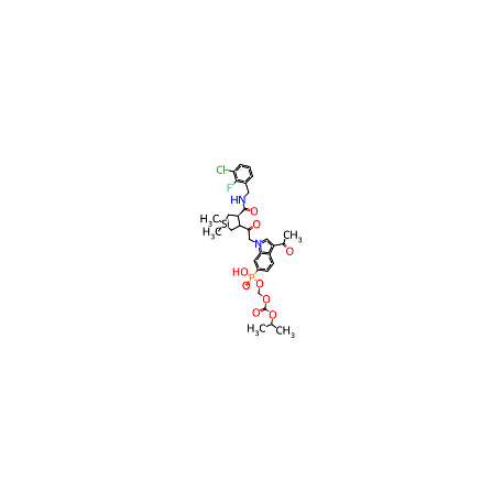 CC(=O)c1cn(CC(=O)C2C[Si](C)(C)C[C@H]2C(=O)NCc2cccc(Cl)c2F)c2cc(P(=O)(O)OCOC(=O)OC(C)C)ccc12